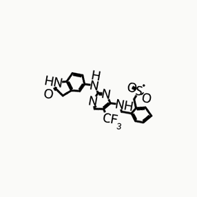 CS(=O)(=O)Cc1ccccc1CNc1nc(Nc2ccc3c(c2)CC(=O)N3)ncc1C(F)(F)F